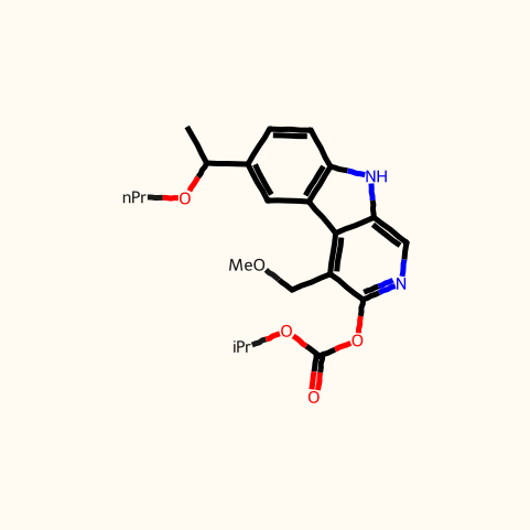 CCCOC(C)c1ccc2[nH]c3cnc(OC(=O)OC(C)C)c(COC)c3c2c1